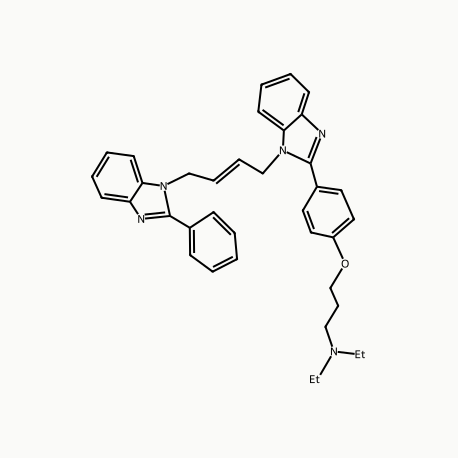 CCN(CC)CCCOc1ccc(-c2nc3ccccc3n2CC=CCn2c(-c3ccccc3)nc3ccccc32)cc1